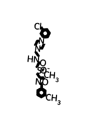 Cc1cccc(-c2nc(C[S+]([O-])CC(=O)NCCN3CCN(c4cccc(Cl)c4)CC3)c(C)o2)c1